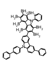 Bc1c(B)c(B)c2c(c1B)c1c(B)c(-c3ccc4c(c3)c3cc(-c5ccccc5)ccc3n4-c3ccc(-c4ccccc4)cc3)c(B)c(B)c1n2-c1ccccc1